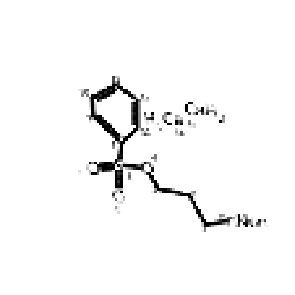 CCCCCCCCCCCCOS(=O)(=O)c1ccccc1.[CaH2].[CaH2]